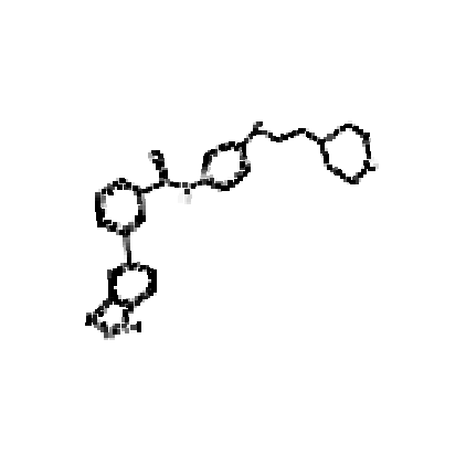 O=C(Nc1ccc(OCCC2CCOCC2)cc1)c1cccc(-c2ccc3[nH]nnc3n2)c1